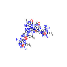 CC(=O)Nc1ccnc(-c2cccc(C)n2)c1-c1ccc2ncc(C#N)n2c1.CC(=O)Nc1ccnc(-c2cccc(C)n2)c1-c1ccc2ncc(C(N)=O)n2c1.Cc1cccc(-c2ncc(N)cc2-c2ccc3ncc(C(=O)O)n3c2)n1.Cc1cccc(-c2ncc(N)cc2-c2ccc3ncc(C(N)=O)n3c2)n1.Cc1cccc(-c2nccc(N)c2-c2ccc3ncc(C(N)=O)n3c2)n1